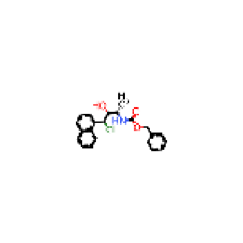 C[C@H](NC(=O)OCc1ccccc1)[C@H](O)C(Cl)c1cccc2ccccc12